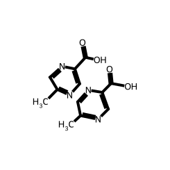 Cc1cnc(C(=O)O)cn1.Cc1cnc(C(=O)O)cn1